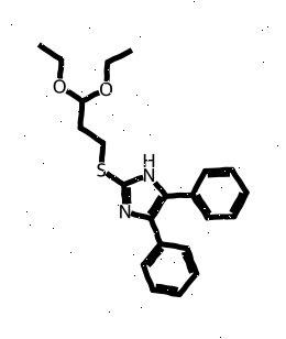 CCOC(CCSc1nc(-c2ccccc2)c(-c2ccccc2)[nH]1)OCC